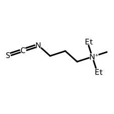 CC[N+](C)(CC)CCCN=C=S